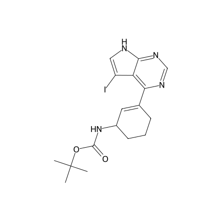 CC(C)(C)OC(=O)NC1C=C(c2ncnc3[nH]cc(I)c23)CCC1